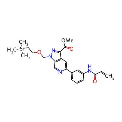 C=CC(=O)Nc1cccc(-c2cc3c(C(=O)OC)nn(COCC[Si](C)(C)C)c3cn2)c1